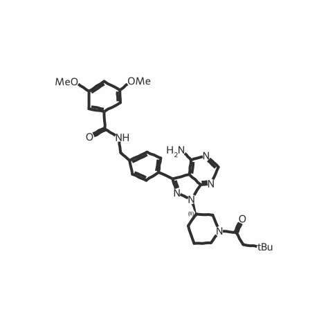 COc1cc(OC)cc(C(=O)NCc2ccc(-c3nn([C@@H]4CCCN(C(=O)CC(C)(C)C)C4)c4ncnc(N)c34)cc2)c1